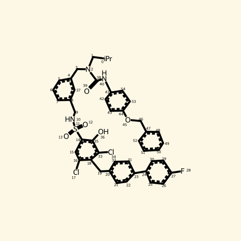 CC(C)CN(Cc1cccc(CNS(=O)(=O)c2cc(Cl)c(Cc3ccc(-c4ccc(F)cc4)cc3)c(Cl)c2O)c1)C(=O)Nc1ccc(OCc2ccccc2)cc1